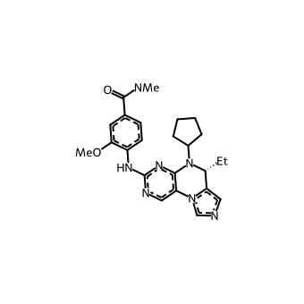 CC[C@@H]1c2cncn2-c2cnc(Nc3ccc(C(=O)NC)cc3OC)nc2N1C1CCCC1